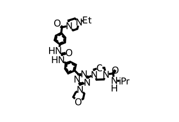 CCN1CCN(C(=O)c2ccc(NC(=O)Nc3ccc(-c4nc(N5CCOCC5)nc(N5CCCN(C(=O)NC(C)C)CC5)n4)cc3)cc2)CC1